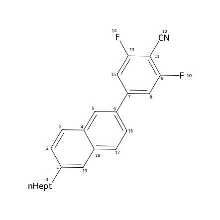 CCCCCCCc1ccc2cc(-c3cc(F)c(C#N)c(F)c3)ccc2c1